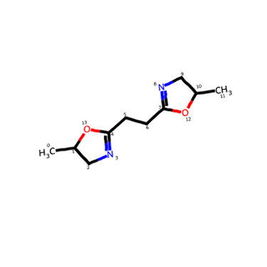 CC1CN=C(CCC2=NCC(C)O2)O1